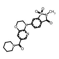 CN1C(=O)c2ccc(N3CCOc4cc(C(=O)N5CCCCC5)cnc43)cc2S1(=O)=O